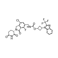 O=C1CC[C@H](N2Cc3c(Cl)cc(CNC(=O)OC4CC(n5c(C(F)(F)F)nc6ccccc65)C4)c(F)c3C2=O)C(=O)N1